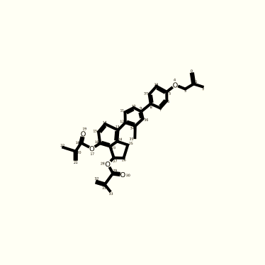 C=C(C)COc1ccc(-c2ccc(-c3ccc(OC(=O)C(=C)C)c4c3CCC4OC(=O)C(=C)C)c(C)c2)cc1